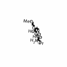 COCCCOc1ccnc(OC(=O)NC(=O)[C@@H](N)CC(C)C)c1O